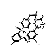 Cc1ccc(S(=O)(=O)c2ccc(C[C@@H](C)N(C[C@@H](O)c3cccc(Cl)c3)C(=O)O)cc2)c(C=O)c1